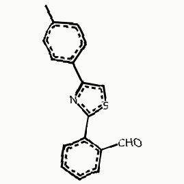 Cc1ccc(-c2csc(-c3ccccc3C=O)n2)cc1